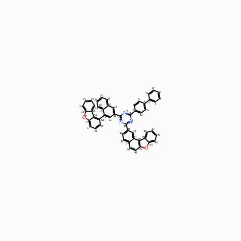 c1ccc(-c2ccc(-c3nc(-c4cc(-c5cccc6oc7ccccc7c56)c5ccccc5c4)nc(-c4ccc5ccc6oc7ccccc7c6c5c4)n3)cc2)cc1